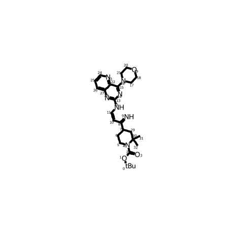 CC(C)(C)OC(=O)N1CCC(C(=N)/C=C\Nc2nc(N3CCOCC3)c3ncccc3n2)CC1(C)C